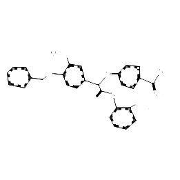 COc1cc(C(Nc2ccc(C(=N)N)cc2)C(=O)Nc2ccccc2C(=O)O)ccc1OCc1ccccc1